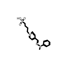 CN(N=Cc1cc[n+](CCCCS(=O)(=O)O)cc1)c1ccccc1